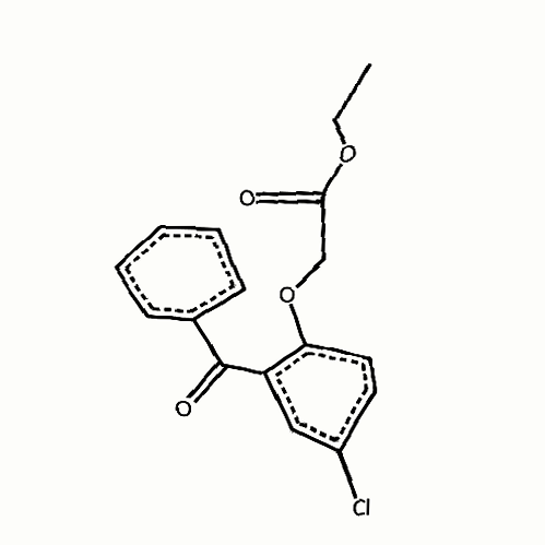 CCOC(=O)COc1ccc(Cl)cc1C(=O)c1ccccc1